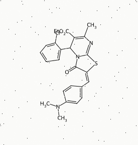 CCOC(=O)C1=C(C)N=c2s/c(=C/c3ccc(N(C)C)cc3)c(=O)n2C1c1ccccc1Cl